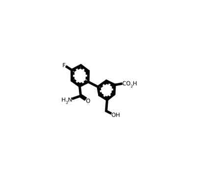 NC(=O)c1cc(F)ccc1-c1cc(CO)cc(C(=O)O)c1